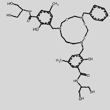 Cc1cc(CN2CCCN(Cc3ccccc3)CCCN(Cc3cc(C)cc(C(=O)NC(CO)CO)c3O)CCC2)c(O)c(C(=O)NC(CO)CO)c1